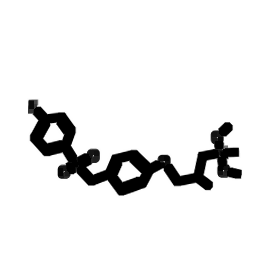 CO[Si](C)(CC(C)COc1ccc(CS(=O)(=O)c2ccc(F)cc2)cc1)OC